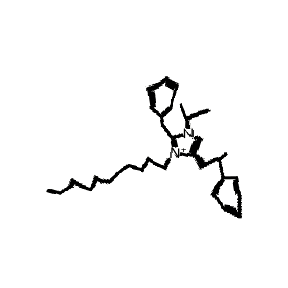 CCCCCCCCCC[n+]1c(CC(C)c2ccccc2)cn(C(C)C)c1Cc1ccccc1